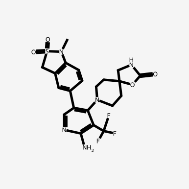 CN1c2ccc(-c3cnc(N)c(C(F)(F)F)c3N3CCC4(CC3)CNC(=O)O4)cc2CS1(=O)=O